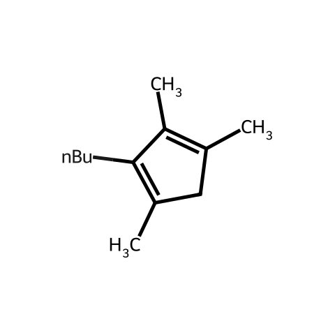 CCCCC1=C(C)CC(C)=C1C